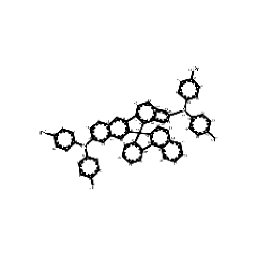 CC(C)c1ccc(N(c2ccc(F)cc2)c2ccc3cc4c(cc3c2)C2(c3ccccc3-c3c2ccc2ccccc32)c2c-4ccc3cc(N(c4ccc(F)cc4)c4ccc(C(C)C)cc4)ccc23)cc1